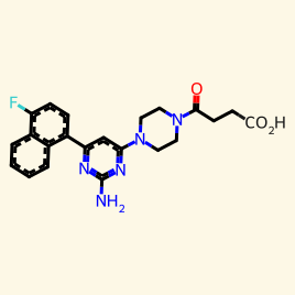 Nc1nc(-c2ccc(F)c3ccccc23)cc(N2CCN(C(=O)CCC(=O)O)CC2)n1